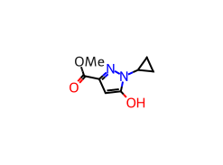 COC(=O)c1cc(O)n(C2CC2)n1